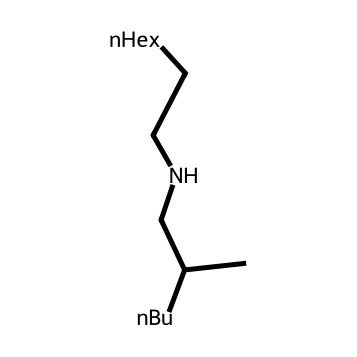 CCCCCCCCNCC(C)CCCC